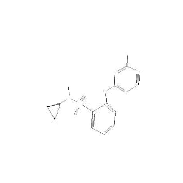 CN(C1CC1)S(=O)(=O)c1ccccc1Nc1ncnc(Cl)n1